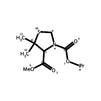 COC(=O)C1N(C(=O)OC(C)C)CSC1(C)C